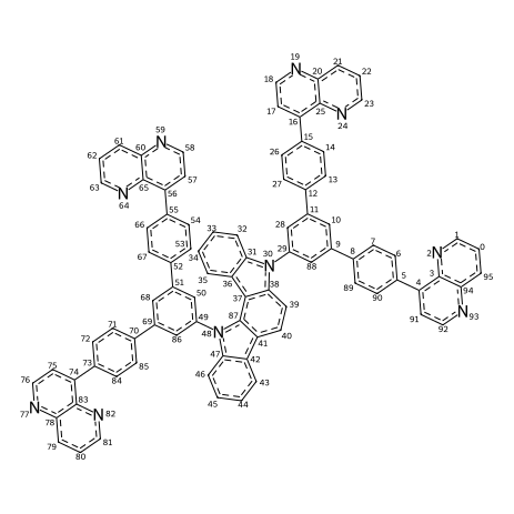 c1cnc2c(-c3ccc(-c4cc(-c5ccc(-c6ccnc7cccnc67)cc5)cc(-n5c6ccccc6c6c5ccc5c7ccccc7n(-c7cc(-c8ccc(-c9ccnc%10cccnc9%10)cc8)cc(-c8ccc(-c9ccnc%10cccnc9%10)cc8)c7)c56)c4)cc3)ccnc2c1